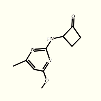 COc1cc(C)nc(NC2CCC2=O)n1